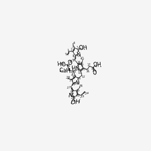 C=CC1=C(C)C(O)=NC1=Cc1[nH]c(CC2N=C(C=C3N=C(O)C(C=C)=C3C)C(C)=C2CCC(=O)O)c(CCC(=O)O)c1C.[CaH2]